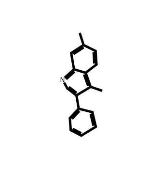 Cc1ccc2c(C)c(-c3ccccc3)cnc2c1